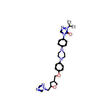 CCC(CC)n1ncn(-c2ccc(N3CCN(c4ccc(OCC5COC(Cn6cncn6)C5)cc4)CC3)cc2)c1=O